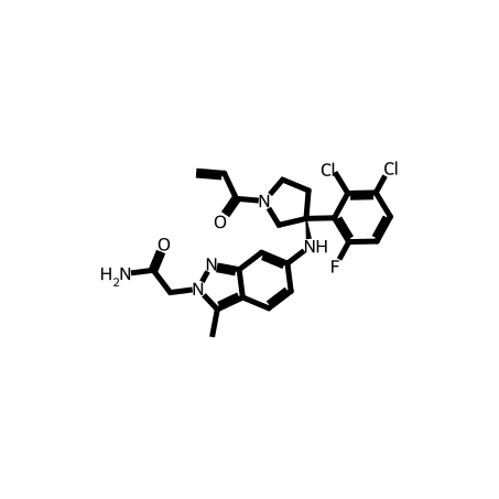 C=CC(=O)N1CC[C@](Nc2ccc3c(C)n(CC(N)=O)nc3c2)(c2c(F)ccc(Cl)c2Cl)C1